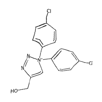 OCC1=C[N+](c2ccc(Cl)cc2)(c2ccc(Cl)cc2)N=N1